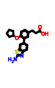 Nc1nc2ccc(-c3cc(CCC(=O)O)ccc3OC3CCCC3)cc2s1